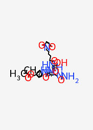 CC(C)C(=O)OCc1ccc(NC(=O)[C@H](CCCNC(N)=O)NC(=O)[C@H](CO)NC(=O)CCCCCN2C(=O)C=CC2=O)cc1